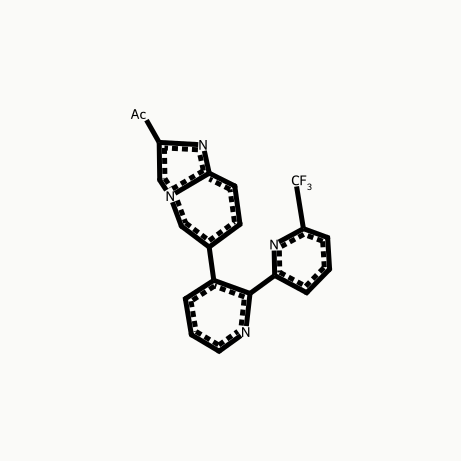 CC(=O)c1cn2cc(-c3cccnc3-c3cccc(C(F)(F)F)n3)ccc2n1